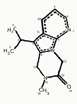 CC(C)c1c2n(c3ncccc13)CC(=O)N(C)C2